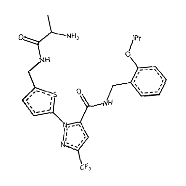 CC(C)Oc1ccccc1CNC(=O)c1cc(C(F)(F)F)nn1-c1ccc(CNC(=O)C(C)N)s1